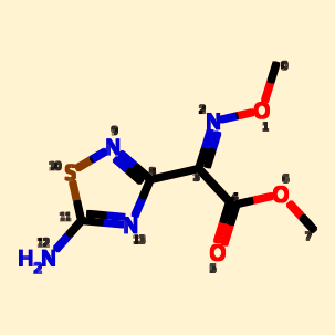 CON=C(C(=O)OC)c1nsc(N)n1